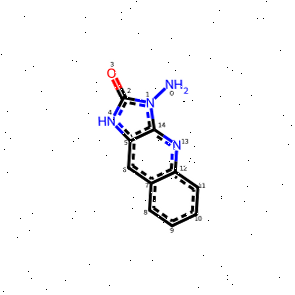 Nn1c(=O)[nH]c2cc3ccccc3nc21